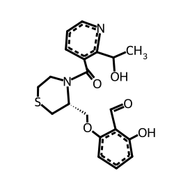 CC(O)c1ncccc1C(=O)N1CCSC[C@H]1COc1cccc(O)c1C=O